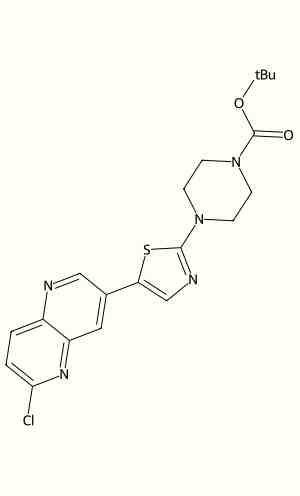 CC(C)(C)OC(=O)N1CCN(c2ncc(-c3cnc4ccc(Cl)nc4c3)s2)CC1